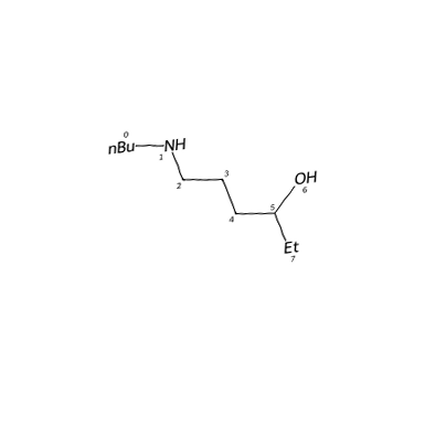 CCCCNCCCC(O)CC